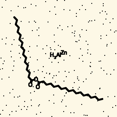 CCCCCCCCCCCCCCCCCC(=O)OC(=O)CCCCCCCCCCCCCCCCC.[AlH3].[Zn]